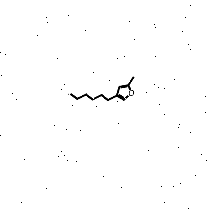 [CH2]CCCCCc1coc(C)c1